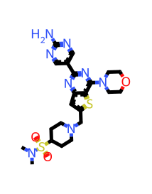 CN(C)S(=O)(=O)C1CCN(Cc2cc3nc(-c4cnc(N)nc4)nc(N4CCOCC4)c3s2)CC1